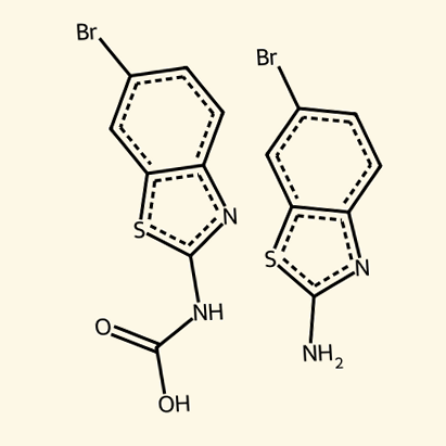 Nc1nc2ccc(Br)cc2s1.O=C(O)Nc1nc2ccc(Br)cc2s1